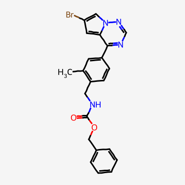 Cc1cc(-c2ncnn3cc(Br)cc23)ccc1CNC(=O)OCc1ccccc1